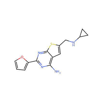 Nc1nc(-c2ccco2)nc2sc(CNC3CC3)cc12